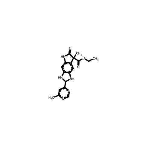 CCOC(=O)C1(C)C(=O)Nc2cc3c(cc21)NC(c1cc(C)ncn1)N3